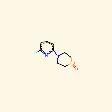 O=[PH]1CCN(c2cccc(F)n2)CC1